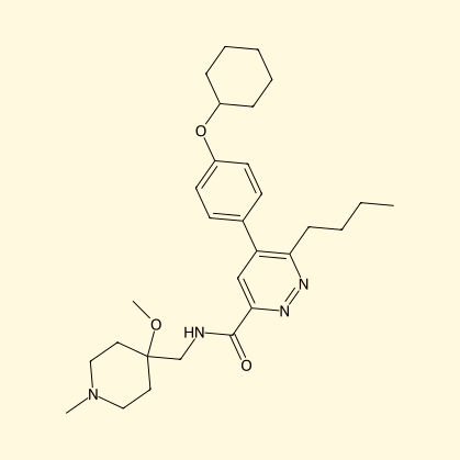 CCCCc1nnc(C(=O)NCC2(OC)CCN(C)CC2)cc1-c1ccc(OC2CCCCC2)cc1